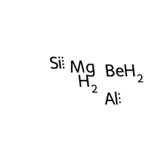 [Al].[BeH2].[MgH2].[Si]